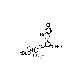 CCOC(=O)C1CC(OCc2cc(C=O)cc(OCc3ccc(Cl)cc3Br)c2)CN1C(=O)OC(C)(C)C